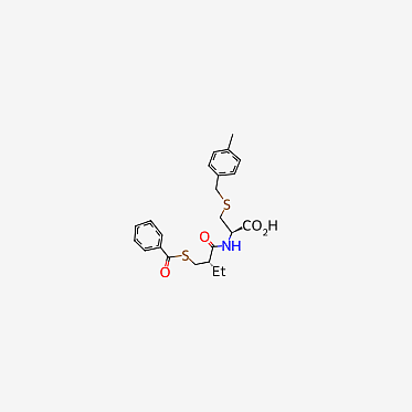 CC[C@H](CSC(=O)c1ccccc1)C(=O)N[C@@H](CSCc1ccc(C)cc1)C(=O)O